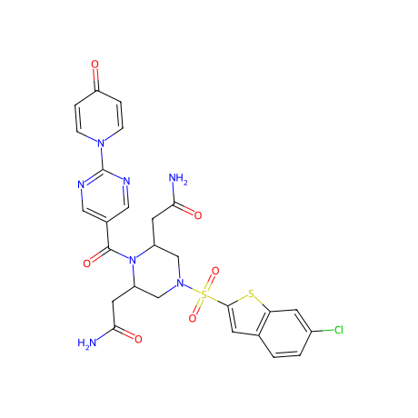 NC(=O)CC1CN(S(=O)(=O)c2cc3ccc(Cl)cc3s2)CC(CC(N)=O)N1C(=O)c1cnc(-n2ccc(=O)cc2)nc1